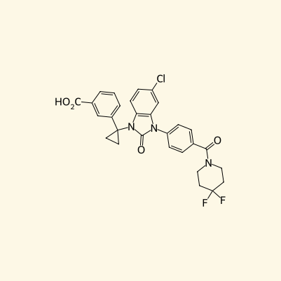 O=C(O)c1cccc(C2(n3c(=O)n(-c4ccc(C(=O)N5CCC(F)(F)CC5)cc4)c4cc(Cl)ccc43)CC2)c1